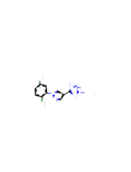 Cn1nnc(-c2cnn(-c3cc(Cl)ccc3Cl)c2)n1